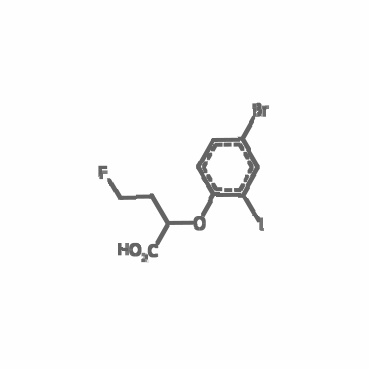 O=C(O)C(CCF)Oc1ccc(Br)cc1I